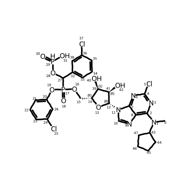 CN(c1nc(Cl)nc2c1ncn2[C@@H]1O[C@H](COP(=O)(Oc2cccc(Cl)c2)C(O[PH](=O)O)c2cccc(Cl)c2)[C@@H](O)[C@H]1O)C1CCCC1